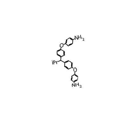 CC(C)C(c1ccc(Oc2ccc(N)cc2)cc1)c1ccc(Oc2ccc(N)cc2)cc1